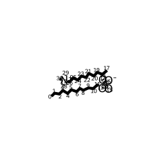 CCCCCCCCCCCCOS(=O)(=O)[O-].CCCCCCCCCC[N+](C)(C)C